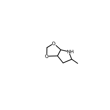 CC1CC2OCOC2N1